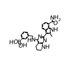 Cc1[nH]c2c(C(N)=O)cccc2c1-c1nc2c(c(NCc3cccc(B(O)O)c3)n1)CCCN2